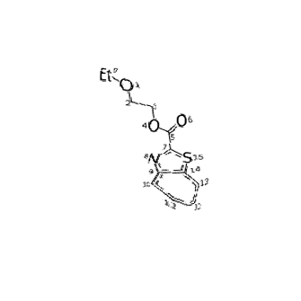 CCOCCOC(=O)c1nc2ccccc2s1